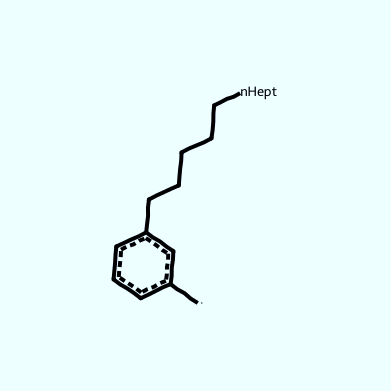 [CH2]c1cccc(CCCCCCCCCCCC)c1